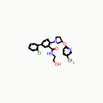 O=C(NCCO)c1cc(-c2ccccc2Cl)ccc1N1CCC(Oc2ccc(C(F)(F)F)cn2)C1